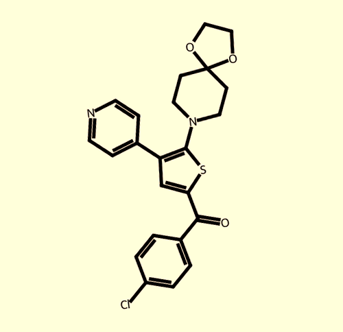 O=C(c1ccc(Cl)cc1)c1cc(-c2ccncc2)c(N2CCC3(CC2)OCCO3)s1